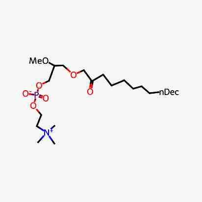 CCCCCCCCCCCCCCCCC(=O)COCC(COP(=O)([O-])OCC[N+](C)(C)C)OC